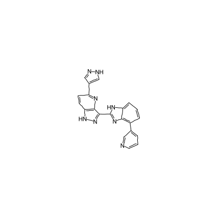 c1cncc(-c2cccc3[nH]c(-c4n[nH]c5ccc(-c6cn[nH]c6)nc45)nc23)c1